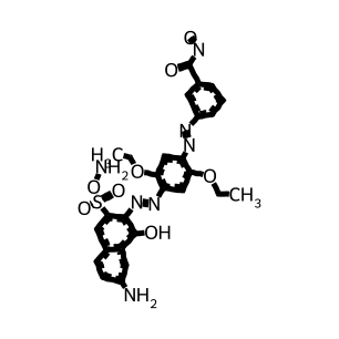 CCOc1cc(N=Nc2c(S(=O)(=O)ON)cc3ccc(N)cc3c2O)c(OCC)cc1N=Nc1cccc(C(=O)N=O)c1